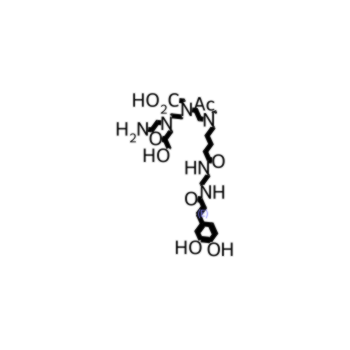 CC(=O)CN(CCCCC(=O)NCCNC(=O)/C=C/c1ccc(O)c(O)c1)CCN(CCN(CCN)CC(=O)CO)CC(=O)O